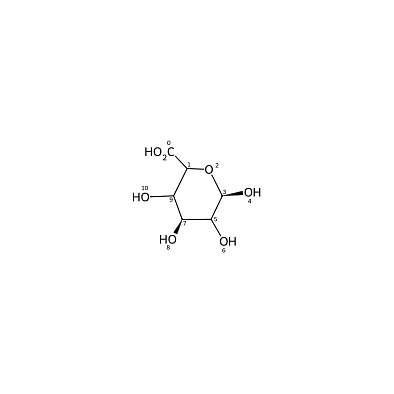 O=C(O)C1O[C@@H](O)C(O)[C@@H](O)C1O